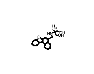 CC(CO)(CO)NCc1cc2oc3ccccc3c2c2ccccc12